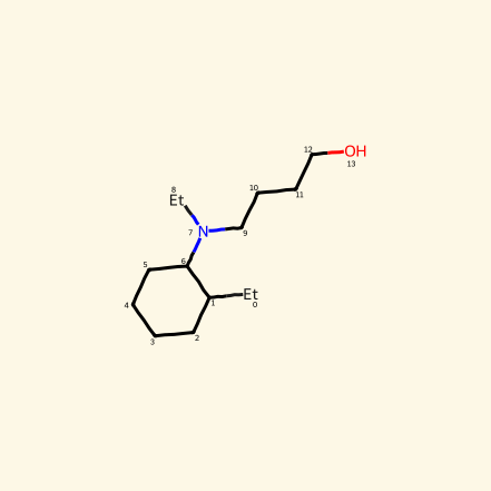 CCC1CCCCC1N(CC)CCCCO